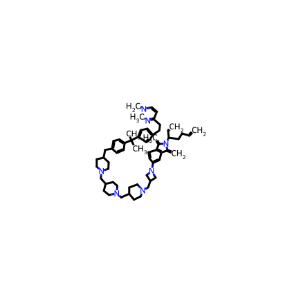 C=CCCC(C=C)n1c(=C)c2ccc(N3CC(CN4CCC(CN5CCC(CN6CCC(Cc7ccc(C(C)(C)c8ccc(CCC(/C=C\N=C)=N/C)cc8)cc7)CC6)CC5)CC4)C3)cc2c1=C